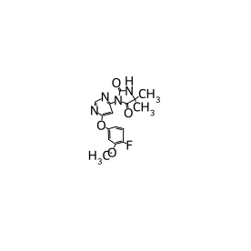 COc1cc(Oc2cc(N3C(=O)NC(C)(C)C3=O)ncn2)ccc1F